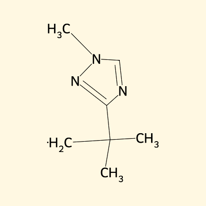 [CH2]C(C)(C)c1ncn(C)n1